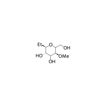 CC[C@H]1OC(CO)[C@@H](OC)C(O)[C@@H]1O